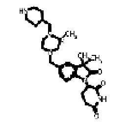 C[C@H]1CN(Cc2ccc3c(c2)C(C)(C)C(=O)N3C2CCC(=O)NC2=O)CCN1CC1CCNCC1